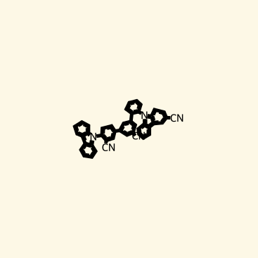 N#Cc1cc(-c2ccc(-n3c4ccccc4c4ccccc43)c(C#N)c2)cc(-c2ccccc2-n2c3ccccc3c3cc(C#N)ccc32)c1